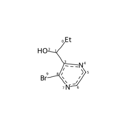 CCC(O)c1nccnc1Br